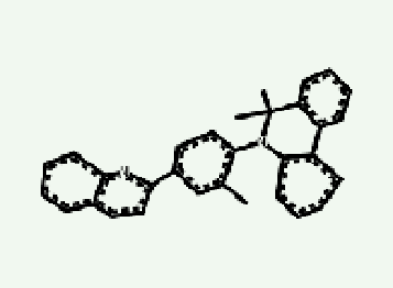 Cc1cc(-c2ccc3ccccc3n2)ccc1N1c2ccccc2-c2ccccc2C1(C)C